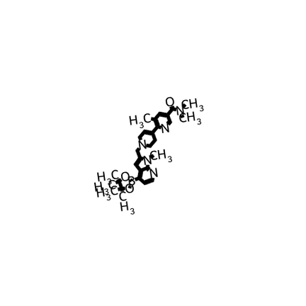 Cc1cc(C(=O)N(C)C)cnc1C1=CCN(Cc2cc3c(B4OC(C)(C)C(C)(C)O4)ccnc3n2C)CC1